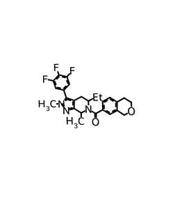 CCC1Cc2c(nn(C)c2-c2cc(F)c(F)c(F)c2)C(C)N1C(=O)c1ccc2c(c1)COCC2